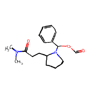 CN(C)C(=O)CCC1CCCN1C(OC=O)c1ccccc1